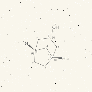 O[C@H]1C[C@@H]2[CH][C@@H](CC2)C1